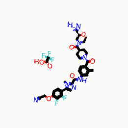 Cc1cc(NC(=O)c2ncc(-c3ccc(OCC#N)c(F)c3F)n2C)ccc1C(=O)N1CCC(C(=O)N2CCO[C@H](CN)C2)CC1.O=C(O)C(F)(F)F